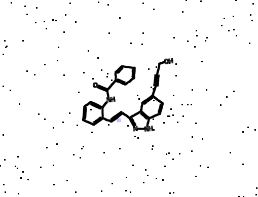 O=C(Nc1ccccc1/C=C/c1n[nH]c2ccc(C#CCO)cc12)c1ccccc1